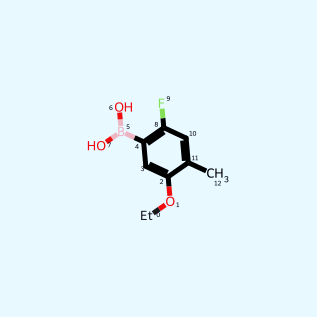 CCOc1cc(B(O)O)c(F)cc1C